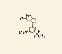 CNc1cc(N2CCc3cnc(Cl)cc32)nc(C(C)(F)F)c1